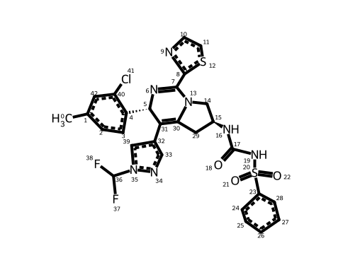 Cc1ccc([C@@H]2N=C(c3nccs3)N3C[C@@H](NC(=O)NS(=O)(=O)c4ccccc4)CC3=C2c2cnn(C(F)F)c2)c(Cl)c1